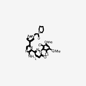 COc1cc(OC)c(Cl)c(-n2nc(-c3nc(-c4cnn(CC(=O)N5CCCCC5)c4)cnc3N)ccc2=O)c1Cl